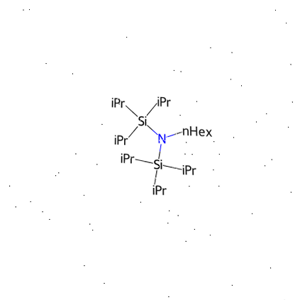 CCCCCCN([Si](C(C)C)(C(C)C)C(C)C)[Si](C(C)C)(C(C)C)C(C)C